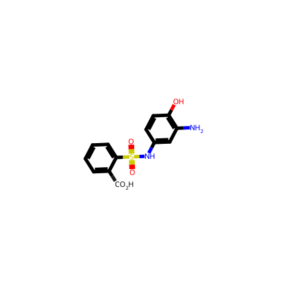 Nc1cc(NS(=O)(=O)c2ccccc2C(=O)O)ccc1O